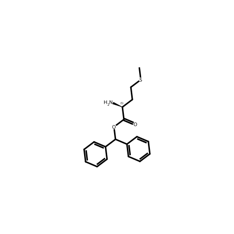 CSCC[C@H](N)C(=O)OC(c1ccccc1)c1ccccc1